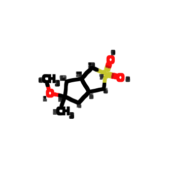 COC1(C)CC2CS(=O)(=O)CC2C1